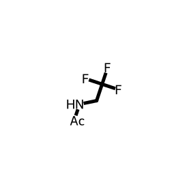 [CH2]C(=O)NCC(F)(F)F